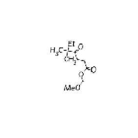 CCC(C)(C)C(=O)CCC(=O)OCOC